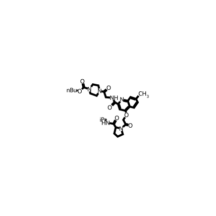 CCCCOC(=O)N1CCN(C(=O)CNC(=O)c2cc(OCC(=O)N3CCCC3C(=O)NC(C)C)c3ccc(C)cc3n2)CC1